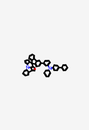 c1ccc(-c2ccc(N(c3ccccc3)c3cccc(-c4ccc5c(c4)-c4ccccc4C54c5ccccc5-n5c6ccccc6c6cccc4c65)c3)cc2)cc1